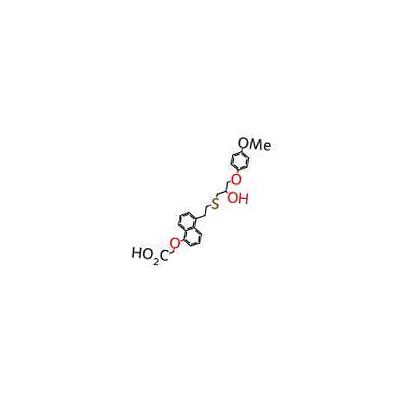 COc1ccc(OCC(O)CSCCc2cccc3c(OCC(=O)O)cccc23)cc1